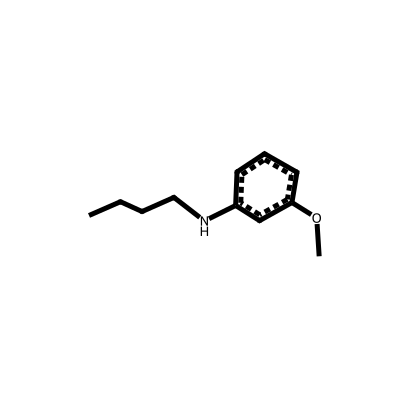 CCCCNc1cccc(OC)c1